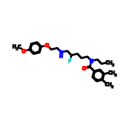 CCCN(CCCC(F)CNCCOc1ccc(OC)cc1)C(=O)c1ccc(C)c(C)c1